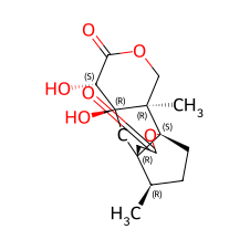 C[C@@H]1CC[C@]23OC(=O)C[C@]12C[C@]1(O)[C@H](O)C(=O)OC[C@@]31C